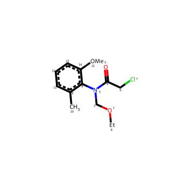 CCOCN(C(=O)CCl)c1c(C)cccc1OC